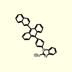 CC(C)(C)c1nc2ccccc2n1-c1ccc(-c2c3ccccc3c(-c3ccc4ccccc4c3)c3ccccc23)cc1